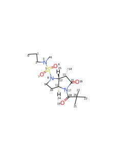 CCCN(C)S(=O)(=O)N1CC[C@H]2[C@H]1[C@H](C)C(=O)N2C(=O)C(C)(C)C